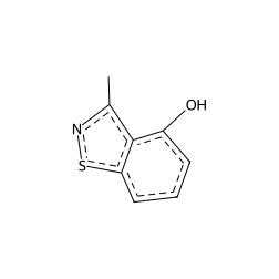 Cc1nsc2cccc(O)c12